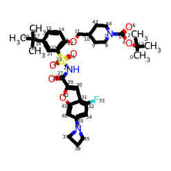 CC(C)(C)OC(=O)N1CCC(COc2ccc(C(C)(C)C)cc2S(=O)(=O)NC(=O)c2cc3c(F)cc(N4CCC4)cc3o2)CC1